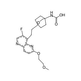 COCCOc1ccc2ncc(F)c(CCC34CCC(NC(=O)O)(CC3)CO4)c2n1